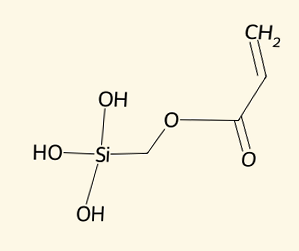 C=CC(=O)OC[Si](O)(O)O